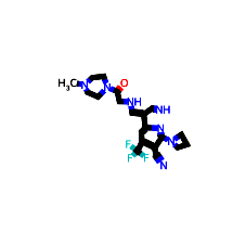 CN1CCN(C(=O)CN/C=C(\C=N)c2cc(C(F)(F)F)c(C#N)c(N3CCC3)n2)CC1